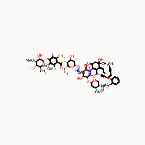 CC#C/C=C\C#C[C@H](O[C@@H]1O[C@H](C)[C@@H](NO[C@H]2C[C@H](O)[C@H](SC(=O)c3c(C)c(I)c(O[C@@H]4O[C@@H](C)[C@H](O)[C@@H](OC)[C@H]4O)c(OC)c3OC)[C@@H](C)O2)[C@H](O)[C@H]1O[C@H]1C[C@H](OC)[C@@H](NCC)CO1)C1=C(NC(=O)OC)C(=O)C[C@](C)(O)/C1=C/CSSc1ccccc1C(=O)O